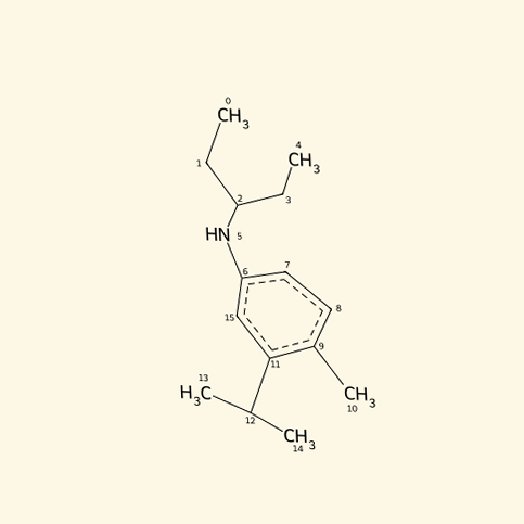 CCC(CC)Nc1ccc(C)c(C(C)C)c1